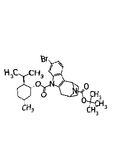 CC(C)[C@@H]1CC[C@@H](C)C[C@H]1OC(=O)n1c2c(c3ccc(Br)cc31)C1CCC(C2)N1C(=O)OC(C)(C)C